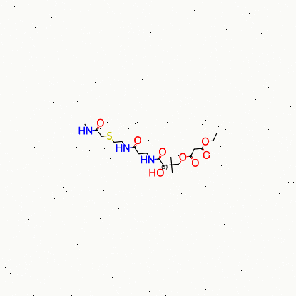 CCOC(=O)CC(=O)OCC(C)(C)[C@H](O)C(=O)NCCC(=O)NCCSCC(=O)NC